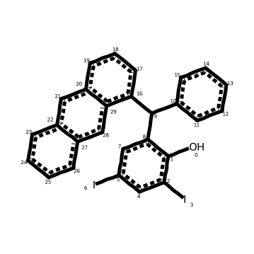 Oc1c(I)cc(I)cc1C(c1ccccc1)c1cccc2cc3ccccc3cc12